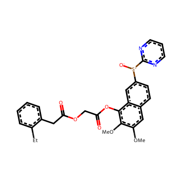 CCc1ccccc1CC(=O)OCC(=O)Oc1c(OC)c(OC)cc2ccc([S+]([O-])c3ncccn3)cc12